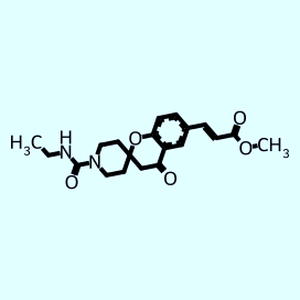 CCNC(=O)N1CCC2(CC1)CC(=O)c1cc(C=CC(=O)OC)ccc1O2